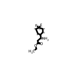 CCOC(=O)C[C@@H](N)C1CCC(F)(F)CC1